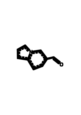 O=Cc1ccc2cccn2c1